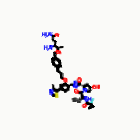 Cc1ncsc1-c1ccc(CNC(=O)[C@@H]2C[C@@H](O)CN2C(=O)[C@@H](NC(=O)C2(F)CC2)C(C)(C)C)c(OCCCc2ccc(CO[C@H](C)[C@@H](N)CCC(N)=O)cc2)c1